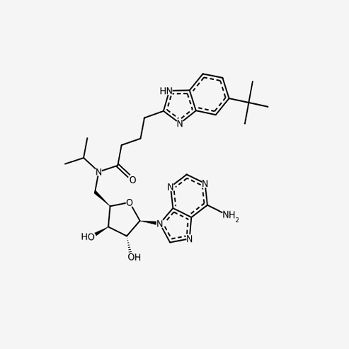 CC(C)N(C[C@H]1O[C@@H](n2cnc3c(N)ncnc32)[C@H](O)[C@H]1O)C(=O)CCCc1nc2cc(C(C)(C)C)ccc2[nH]1